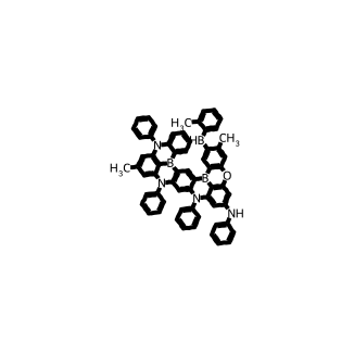 Cc1cc2c3c(c1)N(c1ccccc1)c1cc4c(cc1B3c1ccccc1N2c1ccccc1)B1c2cc(Bc3ccccc3C)c(C)cc2Oc2cc(Nc3ccccc3)cc(c21)N4c1ccccc1